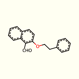 O=Cc1c(OCCc2ccccc2)ccc2ccccc12